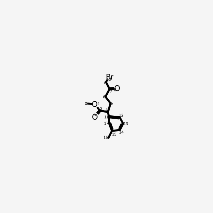 COC(=O)C(CCC(=O)CBr)c1cccc(C)c1